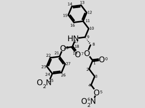 O=C(CCCO[N+](=O)[O-])OC[C@@H](Cc1ccccc1)NC(=O)Oc1ccc([N+](=O)[O-])cc1